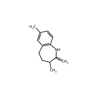 C=C1Nc2ccc(C)cc2CCC1C